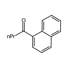 CCCC(=O)c1cccc2ccccc12